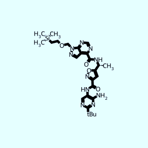 C[C@@H](NC(=O)c1ncnc2c1cnn2COCC[Si](C)(C)C)c1cc(C(=O)Nc2cnc(C(C)(C)C)nc2N)no1